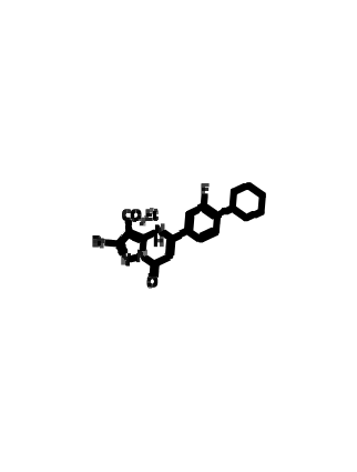 CCOC(=O)c1c(Br)nn2c(=O)cc(-c3ccc(C4CCCCC4)c(F)c3)[nH]c12